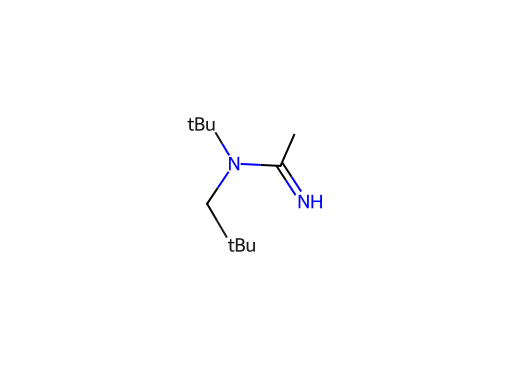 CC(=N)N(CC(C)(C)C)C(C)(C)C